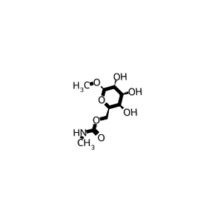 CNC(=O)OC[C@H]1O[C@H](OC)[C@H](O)[C@@H](O)[C@H]1O